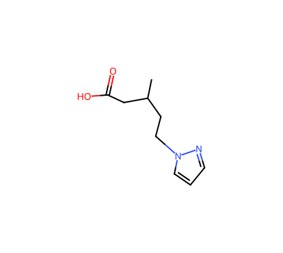 CC(CCn1cccn1)CC(=O)O